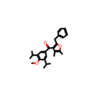 COc1c(C(C)C)cc(C(=O)c2c(Cc3ccccc3)oc(C)c2C)cc1C(C)C